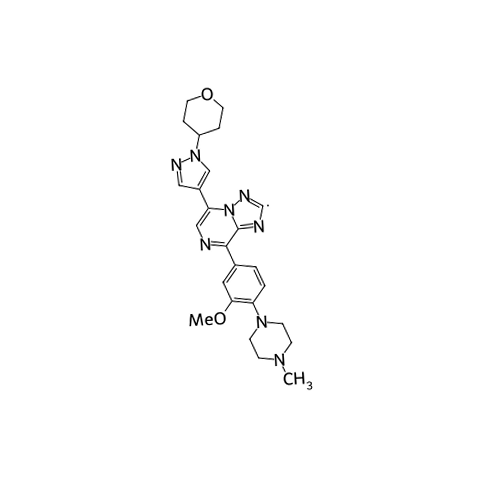 COc1cc(-c2ncc(-c3cnn(C4CCOCC4)c3)n3n[c]nc23)ccc1N1CCN(C)CC1